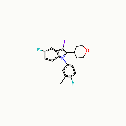 Cc1cc(-n2c(C3CCOCC3)c(I)c3cc(F)ccc32)ccc1F